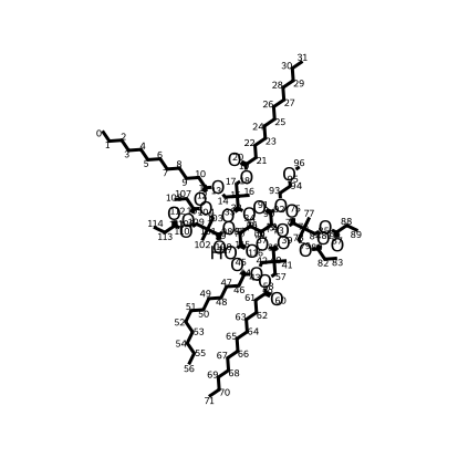 CCCCCCCCCCCC(=O)OCC(C)(COC(=O)CCCCCCCCCCC)C(=O)O[C@H]([C@H](OC(=O)C(C)(COC(=O)CCCCCCCCCCC)COC(=O)CCCCCCCCCCC)[C@H](OC(=O)C(C)(COC(=O)CC)COC(=O)CC)C(=O)OCCOC)[C@@H](OC(=O)C(C)(COC(=O)CC)COC(=O)CC)C(=O)O